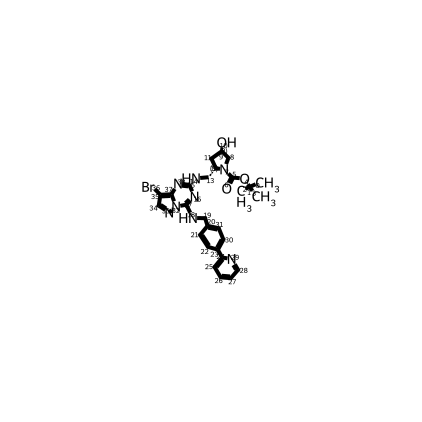 CC(C)(C)OC(=O)N1C[C@H](O)C[C@H]1CNc1nc(NCc2ccc(-c3ccccn3)cc2)n2ncc(Br)c2n1